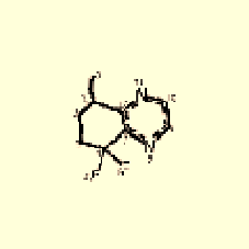 CC1CCC(F)(F)c2nccnc21